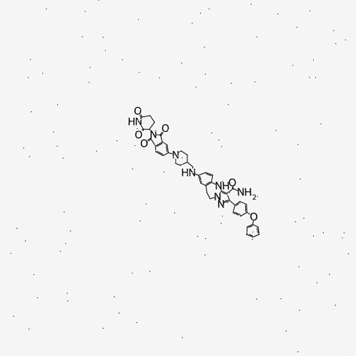 NC(=O)c1c(-c2ccc(Oc3ccccc3)cc2)nn2c1Nc1ccc(NCC3CCN(c4ccc5c(c4)C(=O)N(C4CCC(=O)NC4=O)C5=O)CC3)cc1CC2